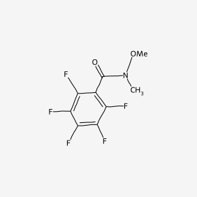 CON(C)C(=O)c1c(F)c(F)c(F)c(F)c1F